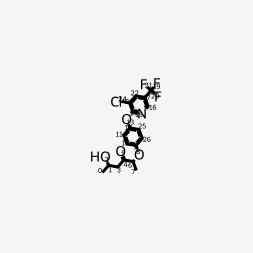 CC(O)CC(=O)C(C)Oc1ccc(Oc2ncc(C(F)(F)F)cc2Cl)cc1